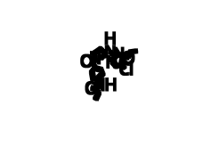 C=CC(=O)Nc1ccc(C(=O)N2CC[C@H](Nc3ncc(Cl)c(OCC)n3)C2)cc1